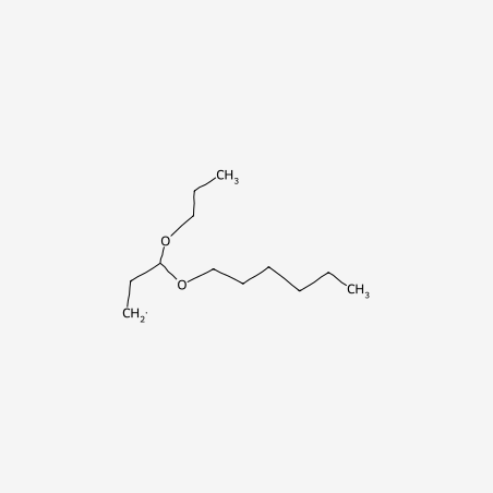 [CH2]CC(OCCC)OCCCCCC